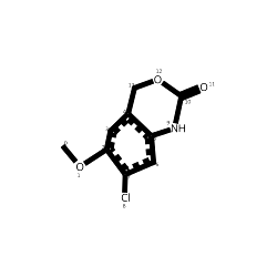 COc1cc2c(cc1Cl)NC(=O)OC2